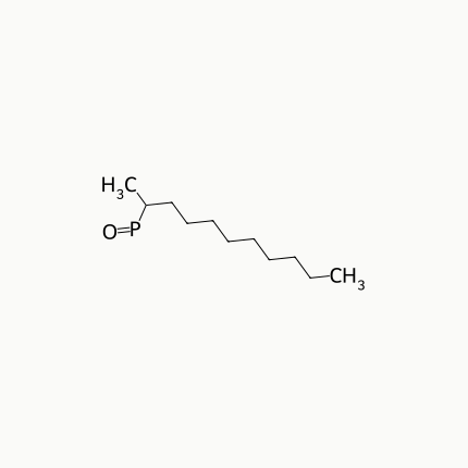 CCCCCCCCCC(C)P=O